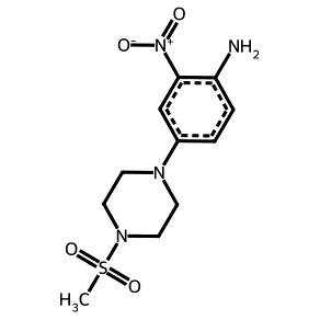 CS(=O)(=O)N1CCN(c2ccc(N)c([N+](=O)[O-])c2)CC1